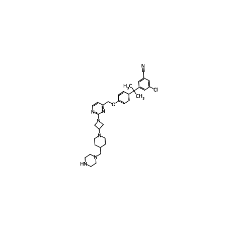 CC(C)(c1ccc(OCc2ccnc(N3CC(N4CCC(CN5CCNCC5)CC4)C3)n2)cc1)c1cc(Cl)cc(C#N)c1